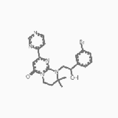 CC1(C)CCn2c(nc(-c3ccncn3)cc2=O)N1CC(O)c1cccc(Br)c1